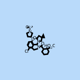 C[S+]([O-])N1CCC(Oc2ccc(Cl)c3c2C(N2CC4(CC4)CC2=O)N(C(=O)C2CCCC[C@]2(C)C(=O)O)CC3)C1